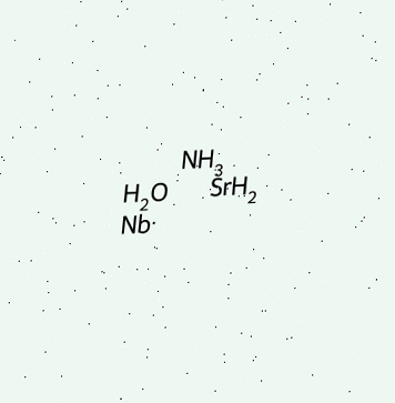 N.O.[Nb].[SrH2]